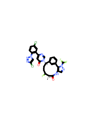 C[C@H]1C(=O)Nc2cnn(C(F)F)c2-c2cccc(c2)[C@@H](n2cnc(-c3cc(Cl)ccc3-n3cc(Cl)nn3)cc2=O)CCC1F